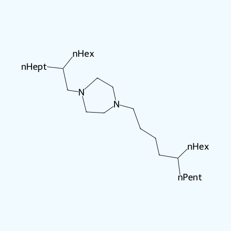 CCCCCCCC(CCCCCC)CN1CCN(CCCCC(CCCCC)CCCCCC)CC1